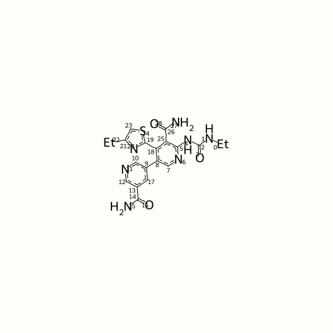 CCNC(=O)Nc1ncc(-c2cncc(C(N)=O)c2)c(-c2nc(CC)cs2)c1C(N)=O